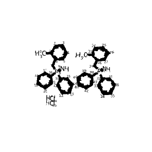 Cc1ccccc1CP(=N)(c1ccccc1)c1ccccc1.Cc1ccccc1CP(=N)(c1ccccc1)c1ccccc1.Cl.Cl